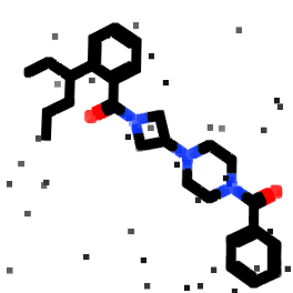 CCCC(CC)c1ccccc1C(=O)N1CC(N2CCN(C(=O)c3ccccc3)CC2)C1